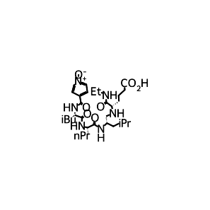 CCC[C@H](NC(=O)[C@@H](NC(=O)c1cc[n+]([O-])cc1)[C@@H](C)CC)C(=O)N[C@H](CN[C@@H](CCCC(=O)O)C(=O)NCC)CC(C)C